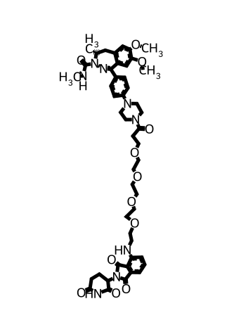 CNC(=O)N1N=C(c2ccc(N3CCN(C(=O)CCOCCOCCOCCOCCNc4cccc5c4C(=O)N(C4CCC(=O)NC4=O)C5=O)CC3)cc2)c2cc(OC)c(OC)cc2C[C@@H]1C